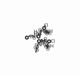 CCOC(=O)CC(=O)Nc1cccc2cc(C(=O)Nc3ccc(Cl)cc3-c3noc(=O)[nH]3)[nH]c12.O=C(COCc1ccccc1)Nc1cccc2cc(C(=O)Nc3ccc(Cl)cc3-c3noc(=O)[nH]3)[nH]c12